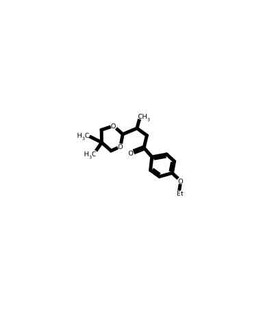 CCOc1ccc(C(=O)CC(C)C2OCC(C)(C)CO2)cc1